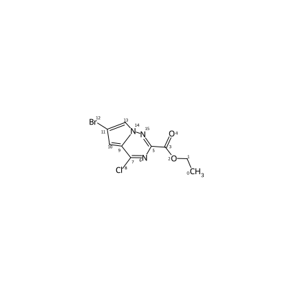 CCOC(=O)c1nc(Cl)c2cc(Br)cn2n1